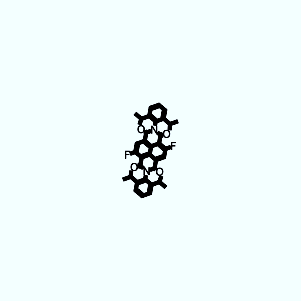 CC(C)c1cccc(C(C)C)c1N1C(=O)c2cc(F)c3c4c(cc(F)c(c24)C1=O)C(=O)N(c1c(C(C)C)cccc1C(C)C)C3=O